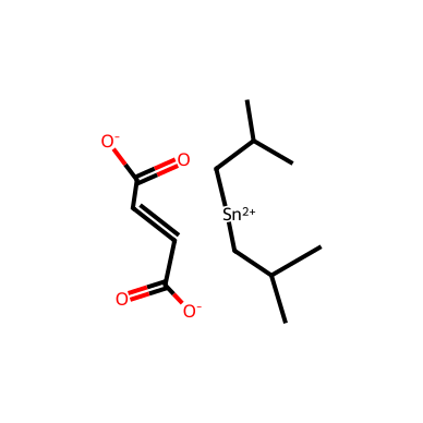 CC(C)[CH2][Sn+2][CH2]C(C)C.O=C([O-])C=CC(=O)[O-]